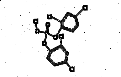 O=P(OCl)(Oc1ccc(Cl)cc1Cl)Oc1ccc(Cl)cc1Cl